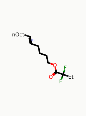 CCCCCCCC/C=C/CCCCOC(=O)C(F)(F)CC